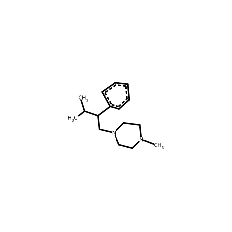 CC(C)C(CN1CCN(C)CC1)c1ccccc1